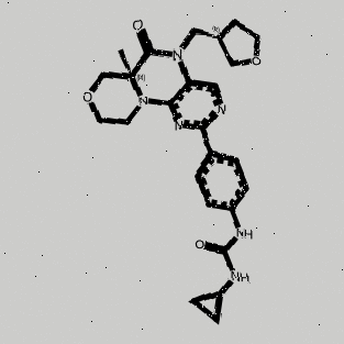 C[C@]12COCCN1c1nc(-c3ccc(NC(=O)NC4CC4)cc3)ncc1N(C[C@H]1CCOC1)C2=O